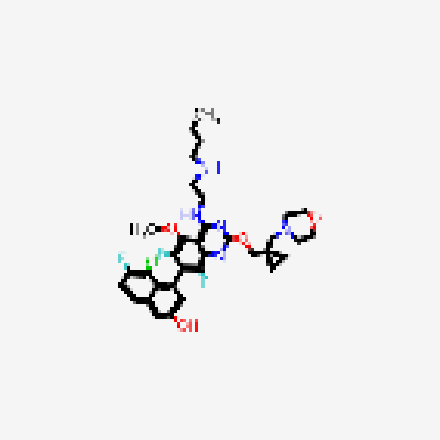 CCCCNCCNc1nc(OCC2(CN3CCOCC3)CC2)nc2c(F)c(-c3cc(O)cc4ccc(F)c(Cl)c34)c(F)c(OC)c12